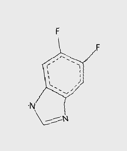 Fc1cc2c(cc1F)N=C[N]2